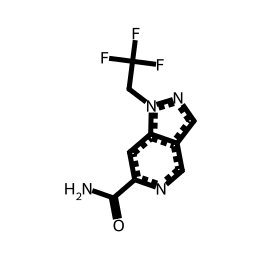 NC(=O)c1cc2c(cn1)cnn2CC(F)(F)F